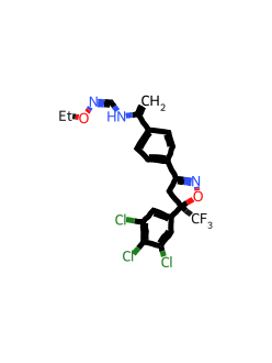 C=C(N/C=N\OCC)c1ccc(C2=NOC(c3cc(Cl)c(Cl)c(Cl)c3)(C(F)(F)F)C2)cc1